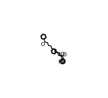 O=C(CCCCCCCCC(=O)[C]12[CH]3[CH]4[CH]5[CH]1[Fe]45321678[CH]2[CH]1[CH]6[C]7(C(=O)C=Cc1ccccc1)[CH]28)c1ccccc1